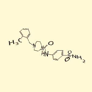 Cc1ccccc1CN1CCN(C(=O)Nc2ccc(S(N)(=O)=O)cc2)CC1